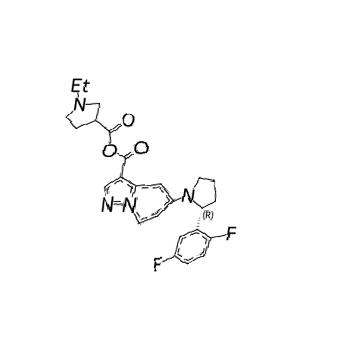 CCN1CCC(C(=O)OC(=O)c2cnn3ccc(N4CCC[C@@H]4c4cc(F)ccc4F)cc23)C1